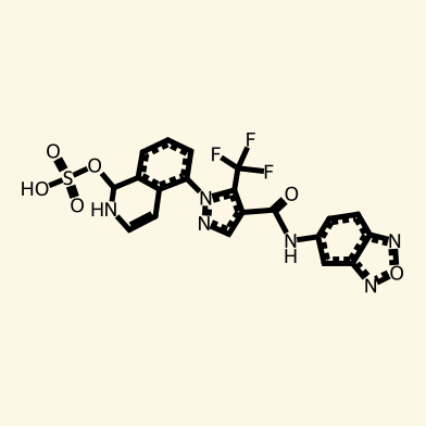 O=C(Nc1ccc2nonc2c1)c1cnn(-c2cccc3c2C=CNC3OS(=O)(=O)O)c1C(F)(F)F